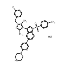 Cc1ccc(S(=O)(=O)n2cc(-c3c(C)nn(Cc4cccc(F)c4)c3C)c3cc(-c4ccc(N5CCNCC5)nc4)cnc32)cc1.Cl